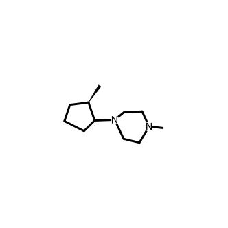 C[C@@H]1CCCC1N1CCN(C)CC1